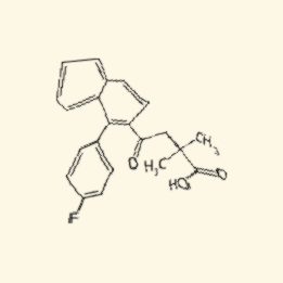 CC(C)(CC(=O)c1ccc2ccccc2c1-c1ccc(F)cc1)C(=O)O